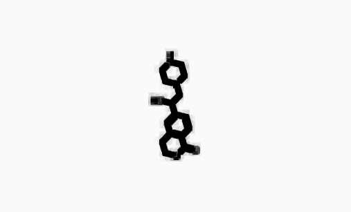 O=C1OCCc2cc(C(O)CN3CCNCC3)ccc21